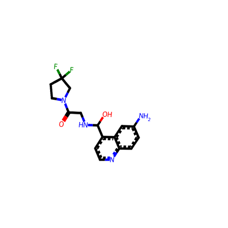 Nc1ccc2nccc(C(O)NCC(=O)N3CCC(F)(F)C3)c2c1